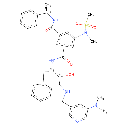 C[C@@H](NC(=O)c1cc(C(=O)N[C@@H](Cc2ccccc2)[C@H](O)CNCc2cncc(N(C)C)c2)cc(N(C)S(C)(=O)=O)c1)c1ccccc1